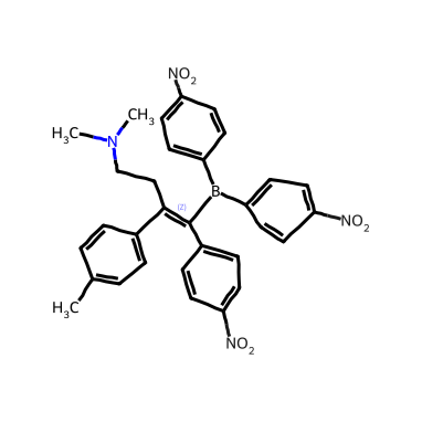 Cc1ccc(/C(CCN(C)C)=C(/B(c2ccc([N+](=O)[O-])cc2)c2ccc([N+](=O)[O-])cc2)c2ccc([N+](=O)[O-])cc2)cc1